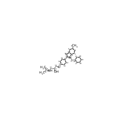 Cc1ccc2c(c1)nc(-c1ccc(OCC(O)CNC(C)C)cc1)n2Cc1ccccc1